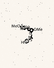 COc1cc(OCc2csc(N3CCNCC3)n2)c2cc(-c3cn4nc(OC)sc4n3)oc2c1